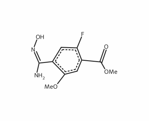 COC(=O)c1cc(OC)c(/C(N)=N\O)cc1F